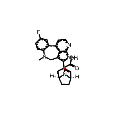 CN1Cc2c(C3=C[C@H]4CC[C@@H](C3)N4CC(=O)O)[nH]c3nccc(c23)-c2cc(F)ccc21